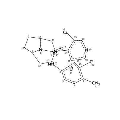 Cc1ccc(NC(=O)N2C3CCC2CN(c2c(Cl)cncc2Cl)CC3)cc1Cl